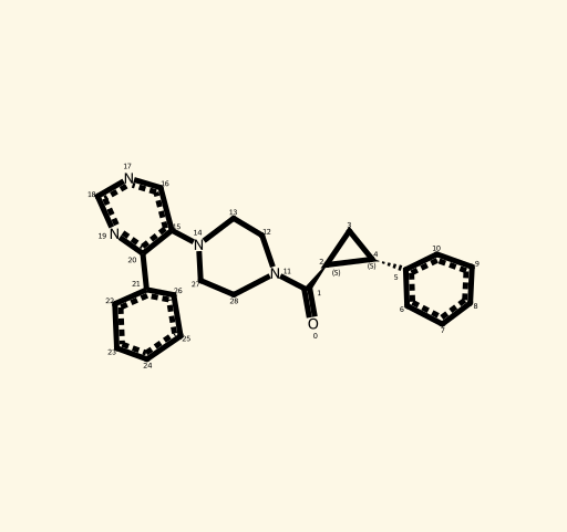 O=C([C@H]1C[C@@H]1c1ccccc1)N1CCN(c2cncnc2-c2ccccc2)CC1